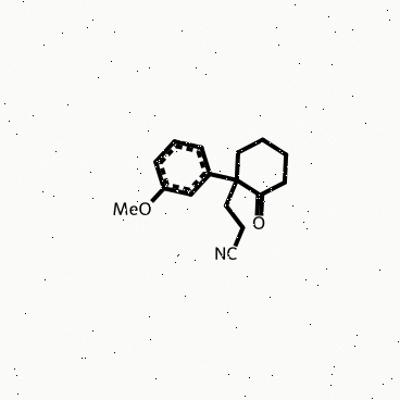 COc1cccc(C2(CCC#N)CCCCC2=O)c1